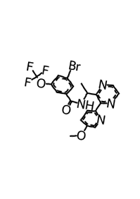 COc1ccc(-c2nccnc2C(C)NC(=O)c2cc(Br)cc(OC(F)(F)F)c2)nc1